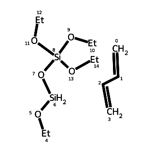 C=CC=C.CCO[SiH2]O[Si](OCC)(OCC)OCC